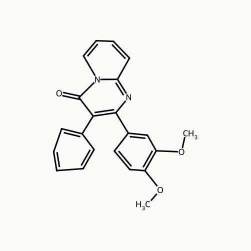 COc1ccc(-c2nc3ccccn3c(=O)c2-c2ccccc2)cc1OC